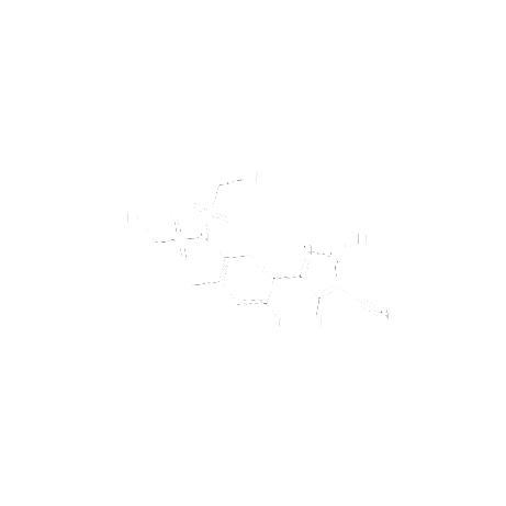 CCS(=O)(=O)N(c1cc(-c2nn(C)c(C#N)c2C)c(F)cc1Cl)S(=O)(=O)CC